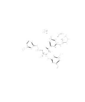 CCc1cccc(CNC[C@@H](O)[C@H](Cc2cc(F)cc(F)c2)NC(=O)c2cc(C)cc(CN3CCC[C@H]3COC)c2)c1.Cl.Cl